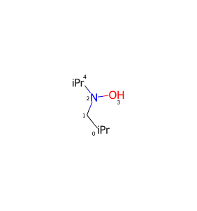 CC(C)CN(O)C(C)C